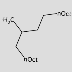 [CH2]C(CCCCCCCCC)CCCCCCCCCC